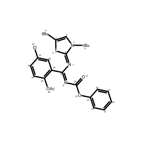 CCCCn1cc(C(C)(C)C)s/c1=N\C(=N/C(=O)Oc1ccccc1)c1cc(Cl)ccc1OC(C)=O